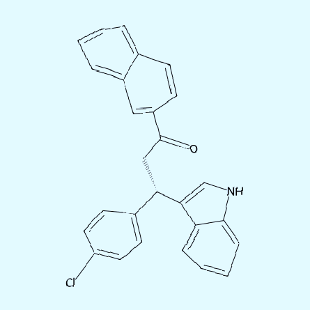 O=C(C[C@@H](c1ccc(Cl)cc1)c1c[nH]c2ccccc12)c1ccc2ccccc2c1